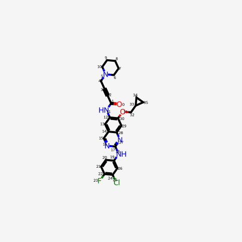 O=C(C#CCN1CCCCC1)Nc1cc2cnc(Nc3ccc(F)c(Cl)c3)nc2cc1OCC1CC1